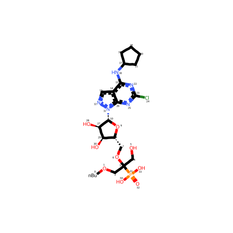 CCCCOCC(CO)(OC[C@H]1O[C@@H](n2ncc3c(NC4CCCC4)nc(Cl)nc32)[C@H](O)[C@@H]1O)P(=O)(O)O